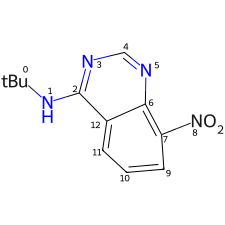 CC(C)(C)Nc1ncnc2c([N+](=O)[O-])cccc12